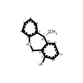 C[C@H]1c2ccccc2OCc2c(F)cccc21